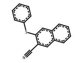 N#Cc1cc2ccccc2cc1Sc1ccccc1